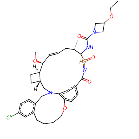 CCOC1CN(C(=O)NC2[C@@H](C)C/C=C/[C@H](OC)[C@@H]3CC[C@H]3CN3Cc4ccc(Cl)cc4CCCCOc4ccc(cc43)C(=O)/N=[SH]\2=O)C1